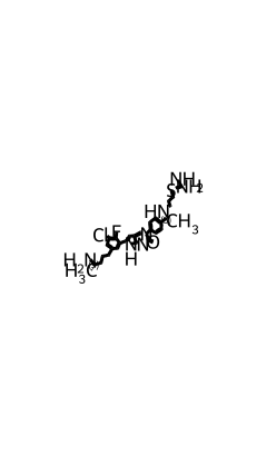 C[C@H](N)CCCc1cc(Cl)c(F)c(-c2cc3cn(-c4ccc([C@H](C)NCCCSC(=N)N)cc4)c(=O)nc3[nH]2)c1